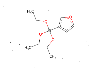 CCO[Si](OCC)(OCC)c1ccoc1